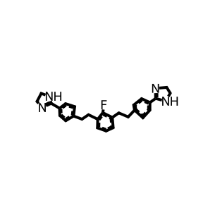 Fc1c(CCc2ccc(C3=NCCN3)cc2)cccc1CCc1ccc(C2=NCCN2)cc1